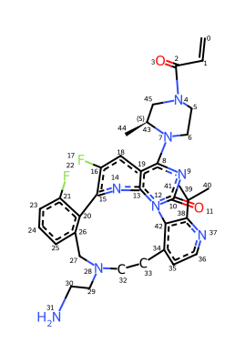 C=CC(=O)N1CCN(c2nc(=O)n3c4nc(c(F)cc24)-c2c(F)cccc2CN(CCN)CCc2ccnc(C(C)C)c2-3)[C@@H](C)C1